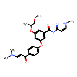 CN/C=C\C(=N)NC(=O)c1cc(Oc2ccc(C(=O)/C=C/N(C)C)cc2)cc(O[C@@H](C)COC)c1